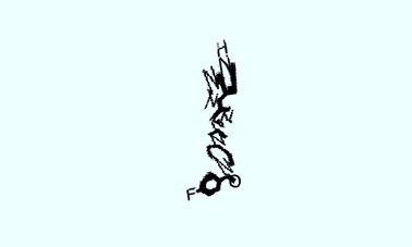 O=C(c1ccc(F)cc1)N1CCC(N2C[C](n3cc(-c4ncnc5[nH]ccc45)cn3)C2)CC1